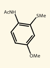 COc1ccc(NC(C)=O)c(SC)c1